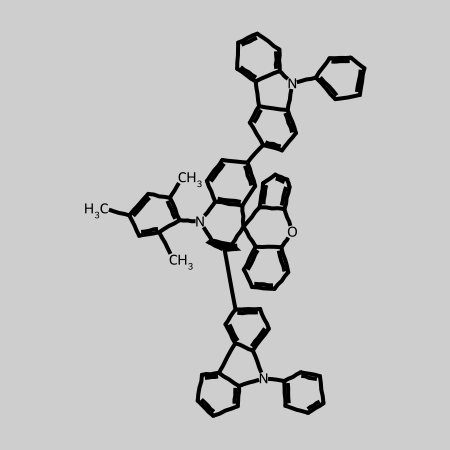 Cc1cc(C)c(N2c3ccc(-c4ccc5c(c4)c4ccccc4n5-c4ccccc4)cc3C3(c4ccccc4Oc4ccccc43)c3cc(-c4ccc5c(c4)c4ccccc4n5-c4ccccc4)ccc32)c(C)c1